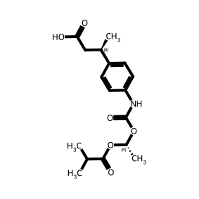 CC(C)C(=O)O[C@@H](C)OC(=O)Nc1ccc([C@H](C)CC(=O)O)cc1